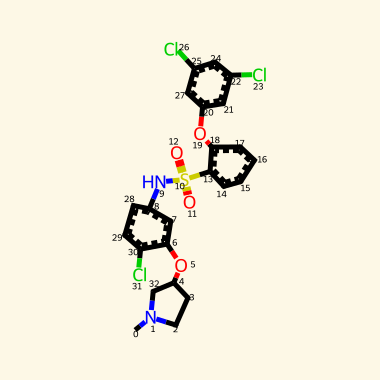 CN1CCC(Oc2cc(NS(=O)(=O)c3ccccc3Oc3cc(Cl)cc(Cl)c3)ccc2Cl)C1